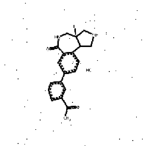 CC(=O)c1cccc(-c2ccc3c(c2)C(=O)NC[C@@H]2CNCC32)c1.Cl